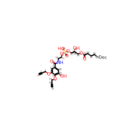 C#CCOc1cc(C(=O)NCCOP(=O)(O)OC[C@H](O)COC(=O)CCCCCCCCCCCCC)cc(O)c1OCC#C